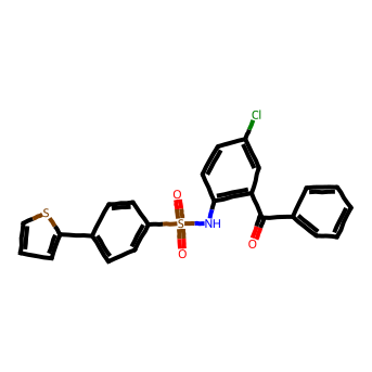 O=C(c1ccccc1)c1cc(Cl)ccc1NS(=O)(=O)c1ccc(-c2cccs2)cc1